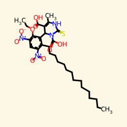 CCCCCCCCCCCCCCCc1c([N+](=O)[O-])cc([N+](=O)[O-])c(OCC)c1C1C(C(=O)O)=C(C)NC(=S)N1C(=O)O